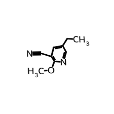 CCc1cnc(OC)c(C#N)c1